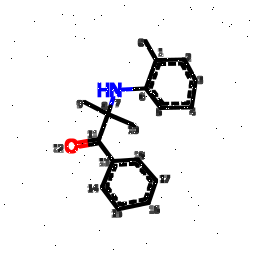 Cc1ccccc1NC(C)(C)C(=O)c1ccccc1